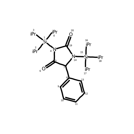 CC(C)[Si](C(C)C)(C(C)C)N1C(=O)C(c2ccccc2)N([Si](C(C)C)(C(C)C)C(C)C)C1=O